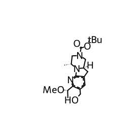 CO[C@@H](C)c1nc2c(cc1CO)C[C@@H]1CN(C(=O)OC(C)(C)C)C[C@@H](C)N21